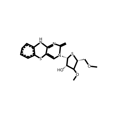 C=C1N=C2Nc3ccccc3SC2=CN1[C@@H]1S[C@H](COC)C(OC)[C@@H]1O